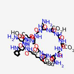 CCC(C)CCCCCCCCC(=O)NC(Cc1c[nH]c2ccccc12)C(=O)NC(CC(N)=O)C(=O)NC(CC(=O)O)C(=O)NC1C(=O)NCC(=O)NC(CCCN)C(=O)NC(CC(=O)O)C(=O)NC(C)C(=O)NC(CC(=O)O)C(=O)NCC(=O)NC(CC(N)=O)C(=O)NC(CCC(=O)O)C(=O)NC(C(C)C)C(=O)OC1C